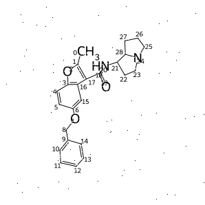 Cc1oc2ccc(OCc3ccccc3)cc2c1C(=O)NC1CCN2CCCC12